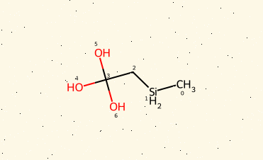 C[SiH2]CC(O)(O)O